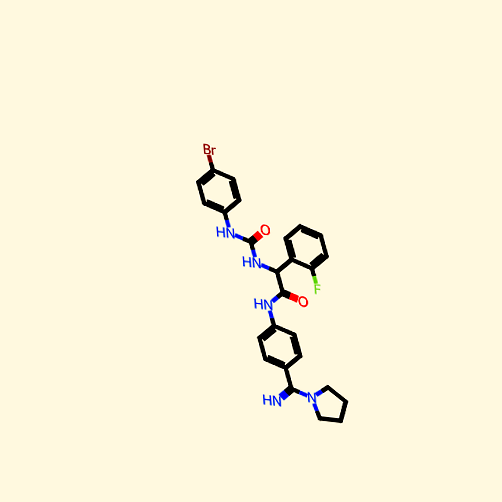 N=C(c1ccc(NC(=O)C(NC(=O)Nc2ccc(Br)cc2)c2ccccc2F)cc1)N1CCCC1